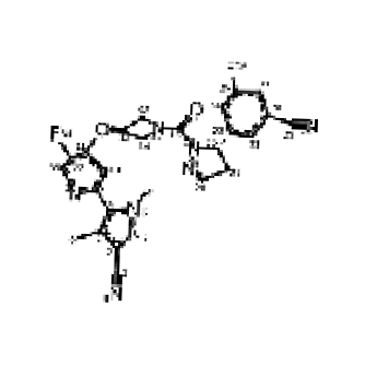 Cc1c(C#N)nn(C)c1-c1cc(OC2CN(C(=O)N3N=CC[C@H]3c3cc(F)cc(C#N)c3)C2)c(F)cn1